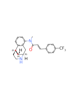 CN(C(=O)C=Cc1ccc(C(F)(F)F)cc1)c1cccc2c1C[C@H]1NCC[C@@]23CCCC[C@@H]13